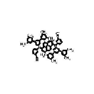 [C-]#[N+]c1cccc(N(c2cc(-c3cc(C)cc(C)c3)cc(-c3cc(C)cc(C)c3)c2)c2ccc3ccc4c(N(c5cccc(C#N)c5)c5cc(-c6cc(C)cc(C)c6)cc(-c6cc(C)cc(C)c6)c5)ccc5ccc2c3c54)c1